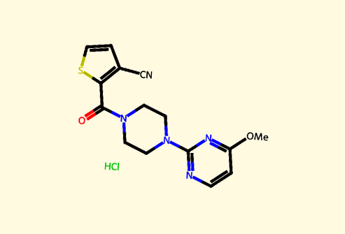 COc1ccnc(N2CCN(C(=O)c3sccc3C#N)CC2)n1.Cl